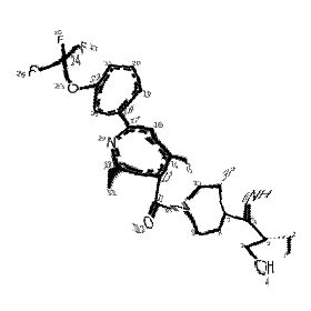 CC[C@H](CO)C(=N)C1CCN(C(=O)c2c(C)cc(-c3cccc(OC(F)(F)F)c3)nc2C)CC1